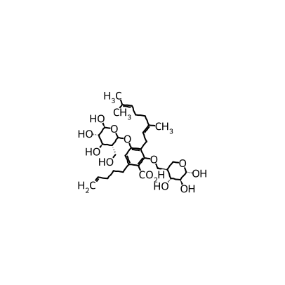 C=CCCCc1cc(OC2O[C@H](O)[C@@H](O)[C@H](O)[C@H]2CO)c(C/C=C(\C)CCC=C(C)C)c(OC[C@H]2CO[C@H](O)[C@@H](O)[C@@H]2O)c1C(=O)O